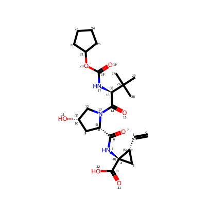 C=C[C@@H]1C[C@]1(NC(=O)[C@@H]1C[C@H](O)CN1C(=O)[C@@H](NC(=O)OC1CCCC1)C(C)(C)C)C(=O)O